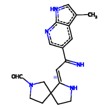 Cc1c[nH]c2ncc(C(=N)/C=C3\NCCC34CCN(C=O)C4)cc12